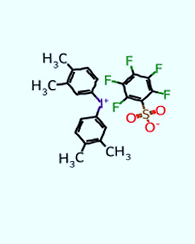 Cc1ccc([I+]c2ccc(C)c(C)c2)cc1C.O=S(=O)([O-])c1c(F)c(F)c(F)c(F)c1F